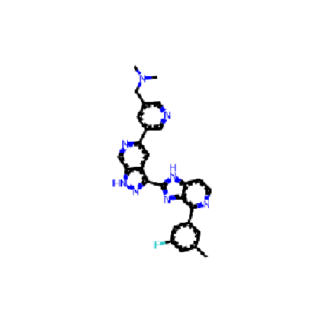 Cc1cc(F)cc(-c2nccc3[nH]c(-c4n[nH]c5cnc(-c6cncc(CN(C)C)c6)cc45)nc23)c1